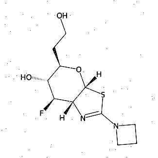 OCC[C@H]1O[C@@H]2SC(N3CCC3)=N[C@@H]2[C@@H](F)[C@@H]1O